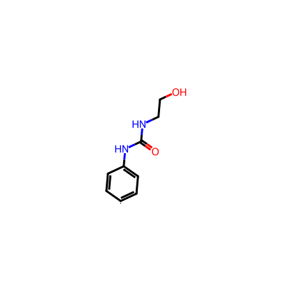 O=C(NCCO)Nc1cc[c]cc1